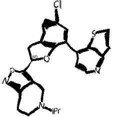 CC(C)N1CCc2noc([C@H]3Cc4cc(Cl)cc(-c5ccnc6ccsc56)c4O3)c2C1